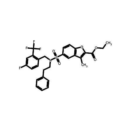 CCOC(=O)c1oc2ccc(S(=O)(=O)N(CCc3ccccc3)Cc3ccc(F)cc3C(F)(F)F)cc2c1C